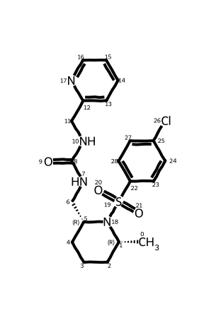 C[C@@H]1CCC[C@H](CNC(=O)NCc2ccccn2)N1S(=O)(=O)c1ccc(Cl)cc1